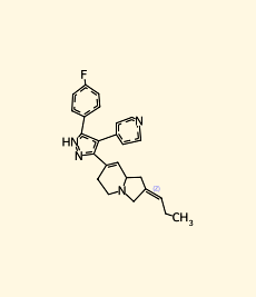 CC/C=C1/CC2C=C(c3n[nH]c(-c4ccc(F)cc4)c3-c3ccncc3)CCN2C1